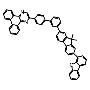 CC1(C)c2cc(-c3cccc(-c4ccc(-c5cnc6c7ccccc7c7ccccc7c6n5)cc4)c3)ccc2-c2ccc(-c3cccc4c3oc3ccccc34)cc21